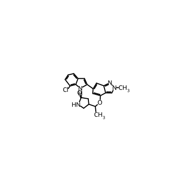 CC(Oc1cc(-c2cc3cccc(Cl)c3[nH]2)cc2nn(C)cc12)C1CNC(=O)C1